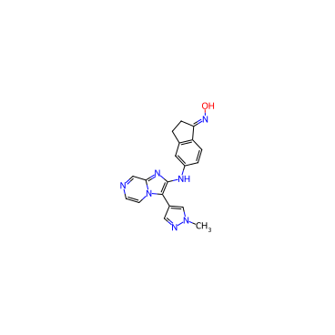 Cn1cc(-c2c(Nc3ccc4c(c3)CCC4=NO)nc3cnccn23)cn1